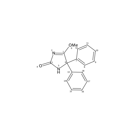 COC1=NC(=O)NC1(c1ccccc1)c1ccccc1